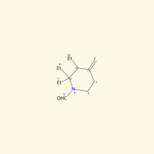 C=C1CCN(C=O)C(CC)(CC)C1CC